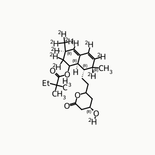 [2H]O[C@H]1CC(=O)OC(CC[C@@H]2[C@@H]3C(=C([2H])[C@]([2H])(C([2H])([2H])[2H])C([2H])([2H])C3OC(=O)C(C)(C)CC)C([2H])=C([2H])[C@]2([2H])C)C1